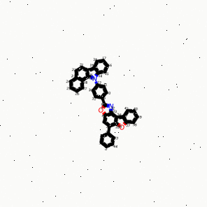 c1ccc(-c2cc3oc(-c4ccc(-n5c6ccccc6c6ccc7ccccc7c65)cc4)nc3c3c2oc2ccccc23)cc1